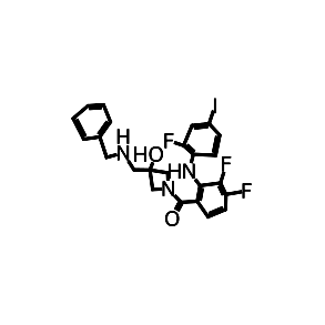 O=C(c1ccc(F)c(F)c1Nc1ccc(I)cc1F)N1CC(O)(CNCc2ccccc2)C1